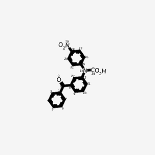 O=C(c1ccccc1)c1cccc(N(C(=O)O)c2ccc([N+](=O)[O-])cc2)c1